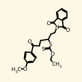 CCOC(=S)SC(CCC(=O)c1ccc(OC)cc1)CCN1C(=O)c2ccccc2C1=O